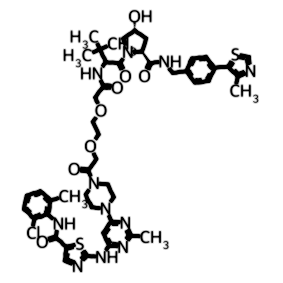 Cc1nc(Nc2ncc(C(=O)Nc3c(C)cccc3Cl)s2)cc(N2CCN(C(=O)COCCOCC(=O)NC(C(=O)N3C[C@H](O)C[C@H]3C(=O)NCc3ccc(-c4scnc4C)cc3)C(C)(C)C)CC2)n1